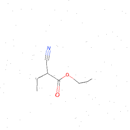 C[C]C(C#N)C(=O)OCC